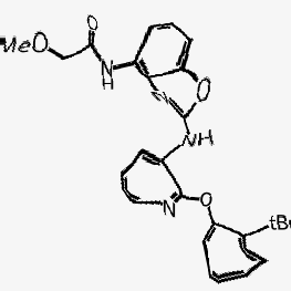 COCC(=O)Nc1cccc2oc(Nc3cccnc3Oc3ccccc3C(C)(C)C)nc12